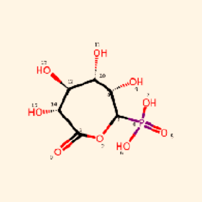 O=C1OC(P(=O)(O)O)[C@@H](O)[C@@H](O)[C@H](O)[C@H]1O